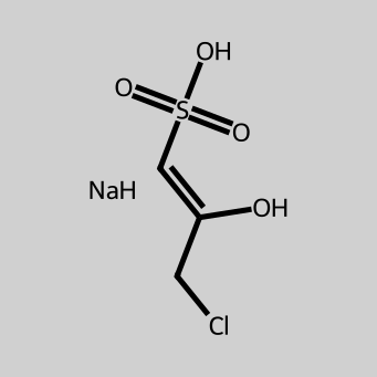 O=S(=O)(O)C=C(O)CCl.[NaH]